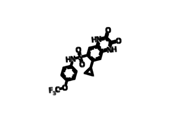 O=c1[nH]c2cc(C3CC3)c(S(=O)(=O)Nc3ccc(OC(F)(F)F)cc3)cc2[nH]c1=O